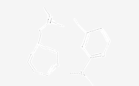 CN(C)Cc1ccccc1.Cc1cccc(N(C)C)c1